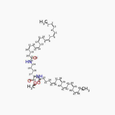 CC/C=C\C/C=C\C/C=C\C/C=C\C/C=C\C/C=C\CCC(=O)NCCCC[C@H](NC(=O)CCC/C=C\C/C=C\C/C=C\C/C=C\C/C=C\CC)C(=O)OC